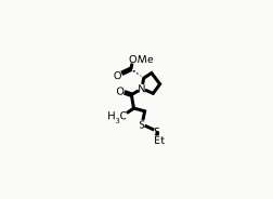 CCSSCC(C)C(=O)N1CCC[C@H]1C(=O)OC